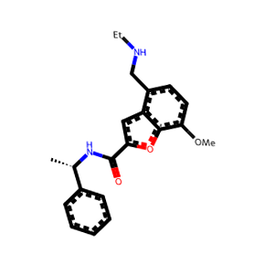 CCNCc1ccc(OC)c2oc(C(=O)N[C@@H](C)c3ccccc3)cc12